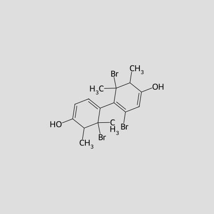 CC1C(O)=CC=C(C2=C(Br)C=C(O)C(C)C2(C)Br)C1(C)Br